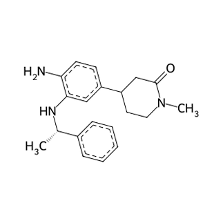 C[C@H](Nc1cc(C2CCN(C)C(=O)C2)ccc1N)c1ccccc1